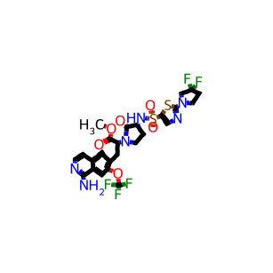 COC(=O)C(Cc1cc2ccnc(N)c2cc1OC(F)(F)F)N1CCC(NS(=O)(=O)c2cnc(N3CCC(F)(F)C3)s2)C1=O